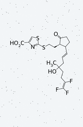 CC(O)(CC=CC1CCC(=O)[C@@H]1CCSc1nc(C(=O)O)cs1)CCC(F)=C(F)F